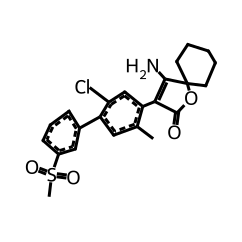 Cc1cc(-c2cccc(S(C)(=O)=O)c2)c(Cl)cc1C1=C(N)C2(CCCCC2)OC1=O